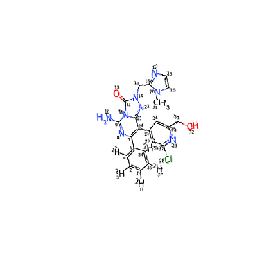 [2H]c1c([2H])c([2H])c(-c2nc(N)n3c(=O)n(Cc4nccn4C)nc3c2-c2cc(Cl)nc(CO)c2)c([2H])c1[2H]